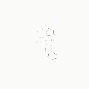 CC(C)N1CCCC(C(C)(C)N2CCc3ccccc3CC2)c2cccnc21